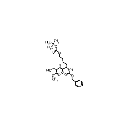 COC(=O)C(CO)NC(=O)C(CCCCNC(=O)OC(C)(C)C)NC(=O)OCc1ccccc1